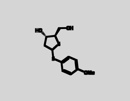 COc1ccc(SC2C[C@H](O)[C@@H](CO)S2)cc1